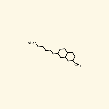 CCCCCCCCCCCCCCCC1CCC2CCC(C)CC2C1